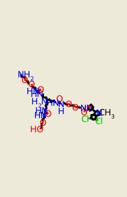 CN1Cc2c(Cl)cc(Cl)cc2C(c2cccc([S+]([O-])NCCOCCOCCNC(=O)NCCCC(N)(CCCNC(=O)NCCOCCO)CCCNC(=O)NCCOCCOCCN)c2)C1